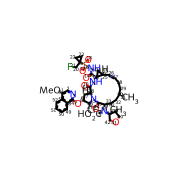 COc1cnc(O[C@@H]2C[C@H]3C(=O)N[C@]4(C(=O)NS(=O)(=O)C5(CF)CC5)C[C@H]4/C=C\CC[C@@H](C)C[C@@H](C)[C@H](N(C(=O)O)C4CCOC4)C(=O)N3C2C(F)(F)F)c2ccccc12